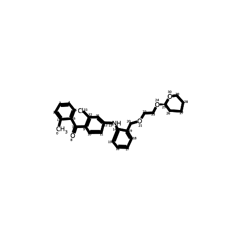 Cc1ccccc1C(=O)c1ccc(Nc2ccccc2COCCO[C@@H]2CCCCO2)cc1Cl